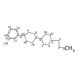 CCCC1CCC(C2CCC(c3cccc(F)c3)CC2)CC1